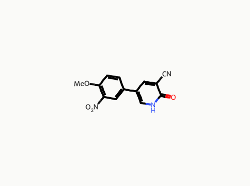 COc1ccc(-c2c[nH]c(=O)c(C#N)c2)cc1[N+](=O)[O-]